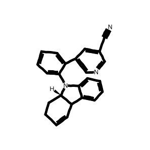 N#Cc1cncc(-c2ccccc2N2c3ccccc3C3C=CCC[C@@H]32)c1